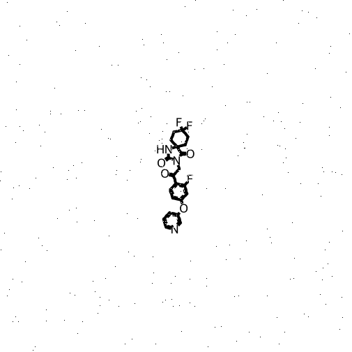 O=C(CN1C(=O)NC2(CCC(F)(F)CC2)C1=O)c1ccc(Oc2cccnc2)cc1F